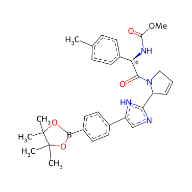 COC(=O)N[C@@H](C(=O)N1CC=CC1c1ncc(-c2ccc(B3OC(C)(C)C(C)(C)O3)cc2)[nH]1)c1ccc(C)cc1